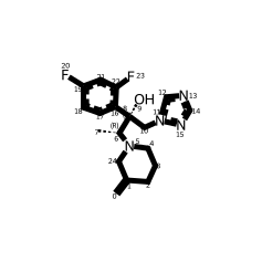 C=C1CCCN([C@H](C)[C@](O)(Cn2cncn2)c2ccc(F)cc2F)C1